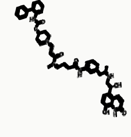 CC(Cc1cccc(NC(=O)CCCN(C)C(=O)CCN2CCC(OC(=O)Nc3ccccc3-c3ccccc3)CC2)c1)NC[C@H](O)c1ccc(O)c2[nH]c(=O)ccc12